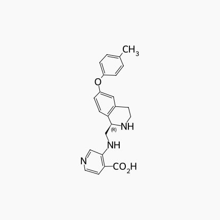 Cc1ccc(Oc2ccc3c(c2)CCN[C@H]3CNc2cnccc2C(=O)O)cc1